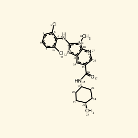 Cn1c(Nc2c(Cl)cccc2Cl)nc2cc(C(=O)N[C@H]3CC[C@H](C)CC3)cnc21